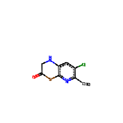 O=Cc1nc2c(cc1Cl)NCC(=O)S2